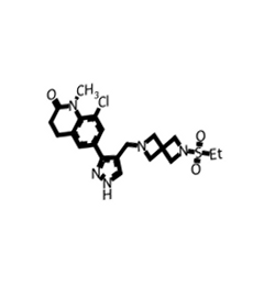 CCS(=O)(=O)N1CC2(CN(Cc3c[nH]nc3-c3cc(Cl)c4c(c3)CCC(=O)N4C)C2)C1